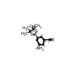 CC1(C)OB(c2cc(N)cc(C#N)c2)OC1(C)C